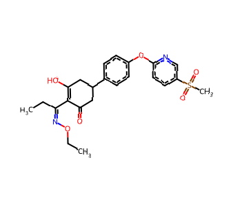 CCO/N=C(/CC)C1=C(O)CC(c2ccc(Oc3ccc(S(C)(=O)=O)cn3)cc2)CC1=O